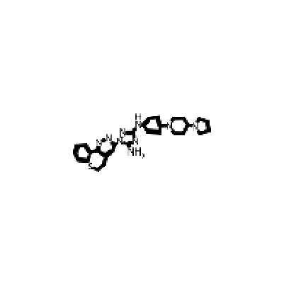 Nc1nc(Nc2ccc(N3CCC(N4CCCC4)CC3)cc2)nn1-c1cc2c(nn1)-c1ccccc1SCC2